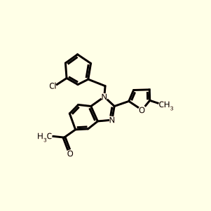 CC(=O)c1ccc2c(c1)nc(-c1ccc(C)o1)n2Cc1cccc(Cl)c1